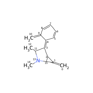 C=C1C2/C(=c3\ccccc3=C)C(C)N(C)C12